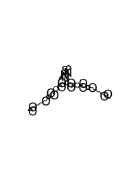 C=CC(=O)OCCCCCCOc1ccc(OC(=O)C2CCC(CC(=O)Oc3ccc(OC(=O)C4CCC(C(=O)Oc5ccc(OCCCCCCOC(=O)C=C)cc5)CC4)cc3/C=N/N(CC#CC)c3nc4ccccc4s3)CC2)cc1